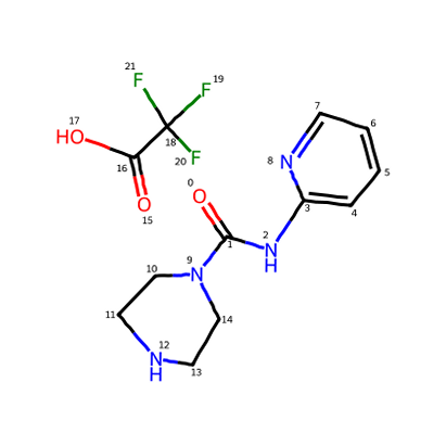 O=C(Nc1ccccn1)N1CCNCC1.O=C(O)C(F)(F)F